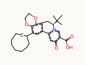 CC(C)(C)[C@@H]1Cc2c(cc(C3CCCCCCCC3)c3c2OCCO3)-c2cc(=O)c(C(=O)O)cn21